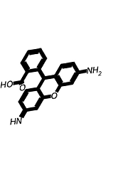 N=C1C=CC2C(=C1)Oc1cc(N)ccc1C2c1ccccc1C(=O)O